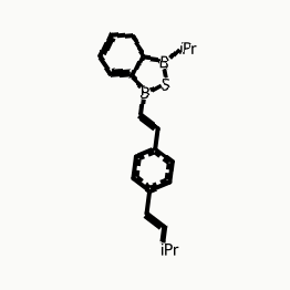 CC(C)/C=C/c1ccc(/C=C/B2SB(C(C)C)C3CC=CC=C23)cc1